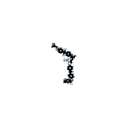 CCC(C)(CC(O)COc1ccc(C(C)(C)c2ccc(OC(C)(CC)CC3CO3)cc2)cc1)Oc1ccc(C(C)(C)c2ccc(OCC3CO3)cc2)cc1